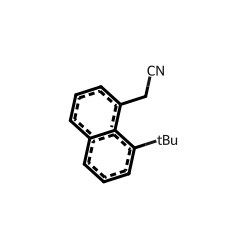 CC(C)(C)c1cccc2cccc(CC#N)c12